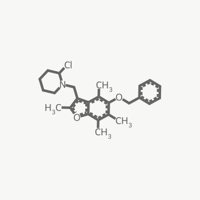 Cc1oc2c(C)c(C)c(OCc3ccccc3)c(C)c2c1CN1CCCCC1Cl